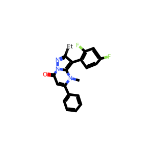 CCc1nn2c(=O)cc(-c3ccccc3)n(C)c2c1-c1ccc(F)cc1F